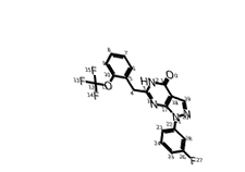 O=c1[nH]c(Cc2ccccc2OC(F)(F)F)nc2c1cnn2-c1cccc(F)c1